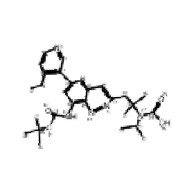 CCc1ccncc1-c1cc(NC(=O)OC(C)(C)C)c2nnc(CC(C)(C)N(C(=O)O)C(C)C)cc2c1